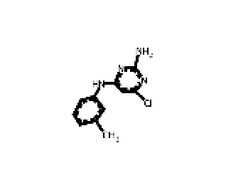 Cc1cccc(Nc2cc(Cl)nc(N)n2)c1